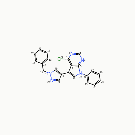 Clc1ncnc2c1c(-c1cnn(Cc3ccccc3)c1)cn2-c1ccccc1